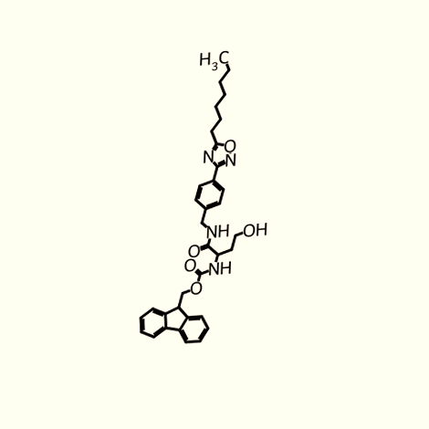 CCCCCCCc1nc(-c2ccc(CNC(=O)C(CCO)NC(=O)OCC3c4ccccc4-c4ccccc43)cc2)no1